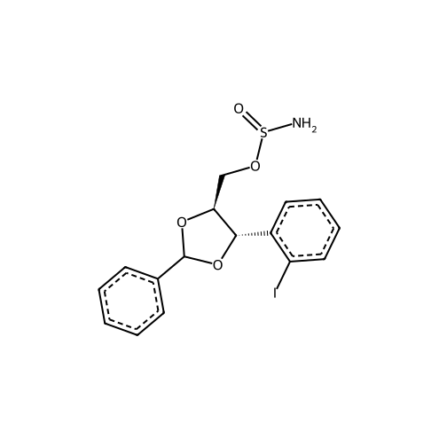 NS(=O)OC[C@@H]1OC(c2ccccc2)O[C@H]1c1ccccc1I